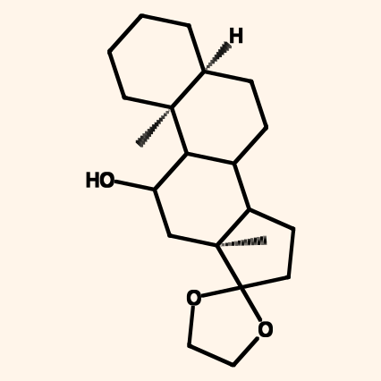 C[C@]12CC(O)C3C(CC[C@@H]4CCCC[C@]34C)C1CCC21OCCO1